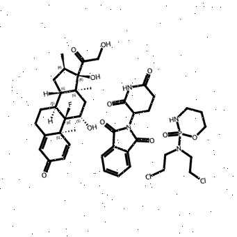 C[C@@H]1C[C@H]2[C@@H]3CCC4=CC(=O)C=C[C@]4(C)[C@@]3(F)[C@@H](O)C[C@]2(C)[C@@]1(O)C(=O)CO.O=C1CCC(N2C(=O)c3ccccc3C2=O)C(=O)N1.O=P1(N(CCCl)CCCl)NCCCO1